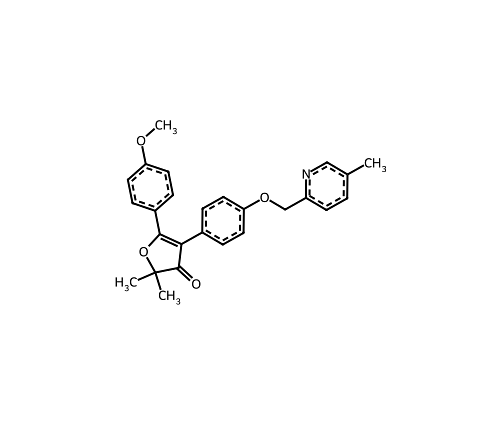 COc1ccc(C2=C(c3ccc(OCc4ccc(C)cn4)cc3)C(=O)C(C)(C)O2)cc1